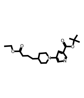 CCOC(=O)CCCC1CCN(c2cncc(C(=O)OC(C)(C)C)c2)CC1